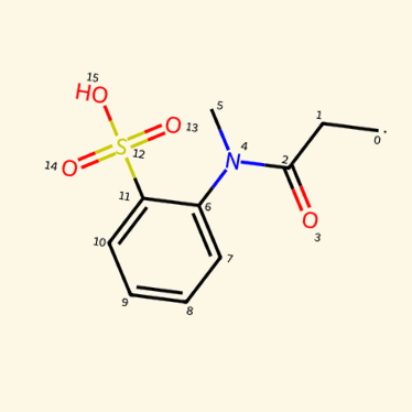 [CH2]CC(=O)N(C)c1ccccc1S(=O)(=O)O